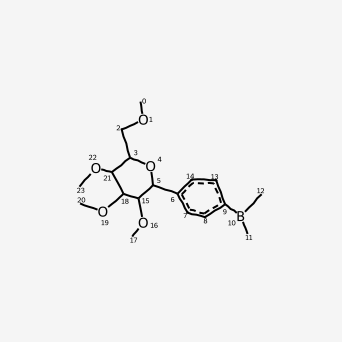 COCC1OC(c2ccc(B(C)C)cc2)C(OC)C(OC)C1OC